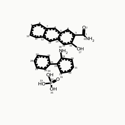 NC(=O)c1cc2cc3ccccc3cc2cc1O.Nc1ccccc1-c1ccccc1.O=P(O)(O)O